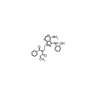 C=CC(=O)N(CCn1nc(Nc2ccccc2O)c2c(N)ncnc21)C(=O)c1ccccc1